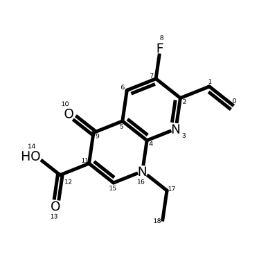 C=Cc1nc2c(cc1F)c(=O)c(C(=O)O)cn2CC